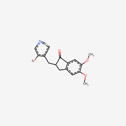 COc1cc2c(cc1OC)C(=O)C(Cc1ccncc1Br)C2